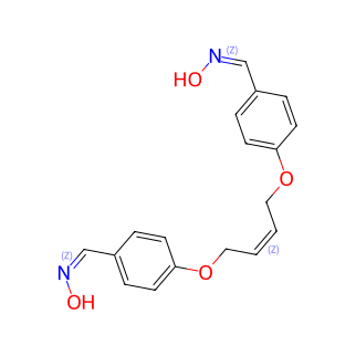 O/N=C\c1ccc(OC/C=C\COc2ccc(/C=N\O)cc2)cc1